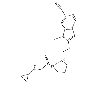 Cn1c(CC[C@@H]2CCCN2C(=O)CNC2CC2)cc2ccc(C#N)cc21